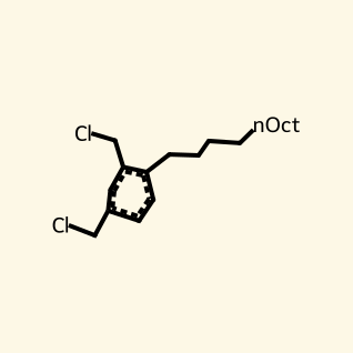 CCCCCCCCCCCCc1ccc(CCl)cc1CCl